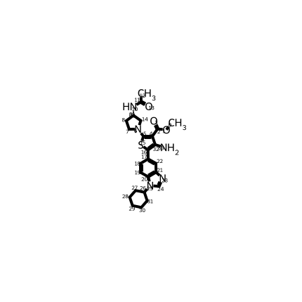 COC(=O)c1c(N2CC[C@H](NC(C)=O)C2)sc(-c2ccc3c(c2)ncn3C2CCCCC2)c1N